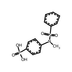 CN(c1ccc(P(=O)(O)O)cc1)S(=O)(=O)c1cc[c]cc1